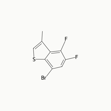 Cc1csc2c(Br)cc(F)c(F)c12